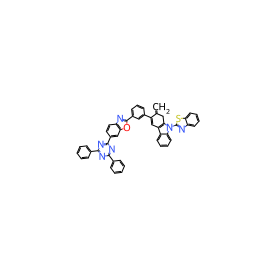 C=C1Cc2c(c3ccccc3n2-c2nc3ccccc3s2)C=C1c1cccc(-c2nc3ccc(-c4nc(-c5ccccc5)nc(-c5ccccc5)n4)cc3o2)c1